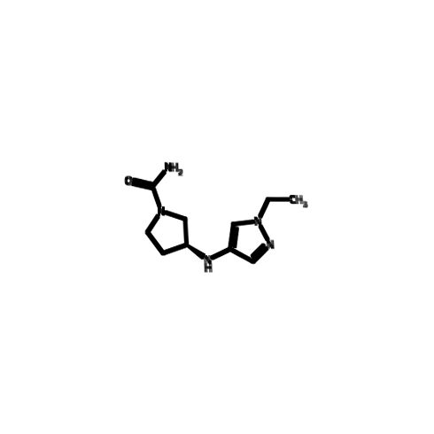 CCn1cc(N[C@H]2CCN(C(N)=O)C2)cn1